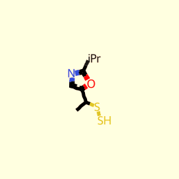 CC(C)c1ncc(C(C)SS)o1